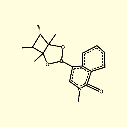 CC1[C@H](C)C2(C)OB(c3cn(C)c(=O)c4ccccc34)OC12C